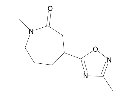 Cc1noc(C2CCCN(C)C(=O)C2)n1